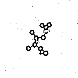 CC1(C)c2ccccc2-c2ccc(-c3cc(-c4ccccc4)cc4c3sc3c(-c5cccc(-c6cnc7c8ccccc8c8ccccc8c7n6)c5)cc(-c5ccccc5)cc34)cc21